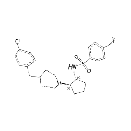 O=S(=O)(N[C@@H]1CCC[C@H]1N1CCC(Cc2ccc(Cl)cc2)CC1)c1ccc(F)cc1